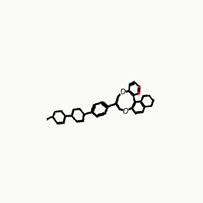 CC1CCC(C2CCC(c3ccc(C4COc5ccc6c(c5-c5c(ccc7c5CCCC7)OC4)CCCC6)cc3)CC2)CC1